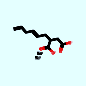 C=CCC=CCC(CC(=O)[O-])C(=O)[O-].[Na+].[Na+]